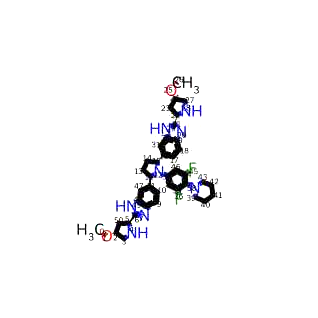 CO[C@H]1CN[C@H](c2nc3ccc([C@H]4CC[C@H](c5ccc6nc([C@@H]7C[C@@H](OC)CN7)[nH]c6c5)N4c4cc(F)c(N5CCCCC5)c(F)c4)cc3[nH]2)C1